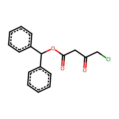 O=C(CCl)CC(=O)OC(c1ccccc1)c1ccccc1